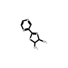 CC1N=C(c2cnccn2)SC1C